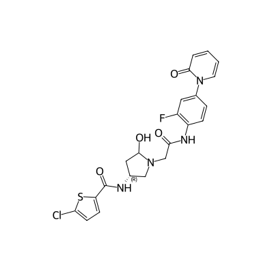 O=C(CN1C[C@H](NC(=O)c2ccc(Cl)s2)CC1O)Nc1ccc(-n2ccccc2=O)cc1F